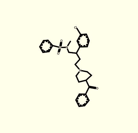 CN(CC(CCN1CCC(C(=O)c2ccccc2)CC1)c1cccc(Cl)c1)S(=O)(=O)c1ccccc1